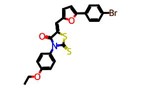 CCOc1ccc(N2C(=O)C(=Cc3ccc(-c4ccc(Br)cc4)o3)SC2=S)cc1